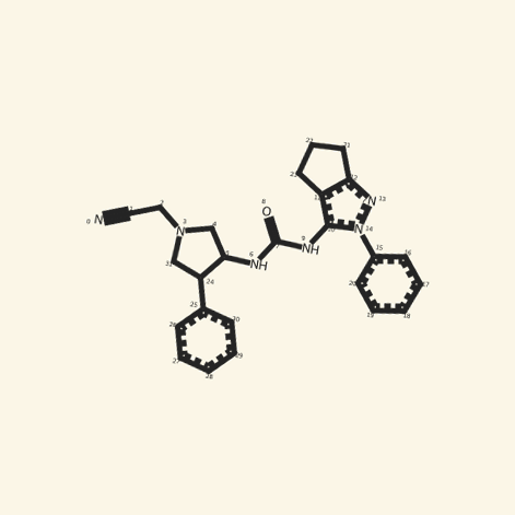 N#CCN1CC(NC(=O)Nc2c3c(nn2-c2ccccc2)CCC3)C(c2ccccc2)C1